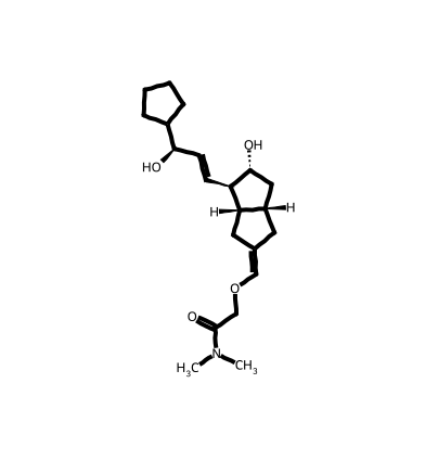 CN(C)C(=O)COC=C1C[C@H]2C[C@@H](O)[C@H](C=C[C@@H](O)C3CCCC3)[C@H]2C1